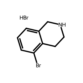 Br.Brc1cccc2c1CCNC2